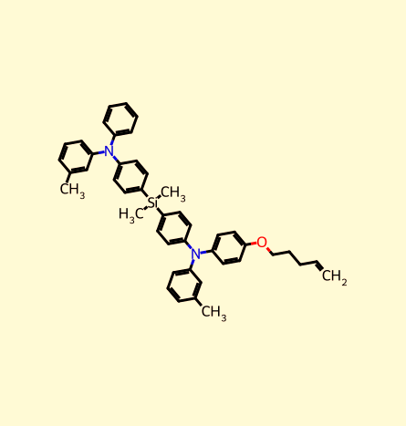 C=CCCCOc1ccc(N(c2ccc([Si](C)(C)c3ccc(N(c4ccccc4)c4cccc(C)c4)cc3)cc2)c2cccc(C)c2)cc1